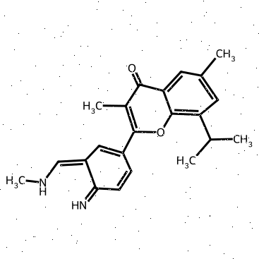 CN/C=C1/C=C(c2oc3c(C(C)C)cc(C)cc3c(=O)c2C)C=CC1=N